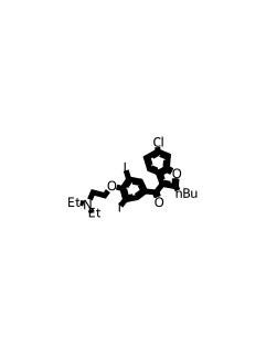 CCCCc1oc2cc(Cl)ccc2c1C(=O)c1cc(I)c(OCCN(CC)CC)c(I)c1